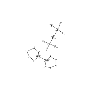 C1CC[NH+]([NH+]2CCCCC2)CC1.F[B-](F)(F)F.F[B-](F)(F)F